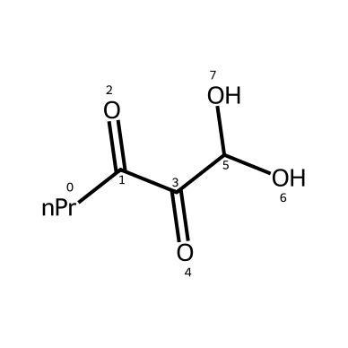 CCCC(=O)C(=O)C(O)O